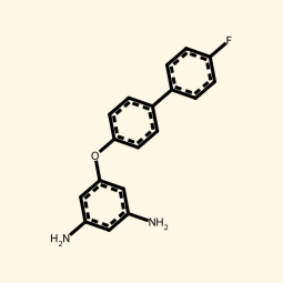 Nc1cc(N)cc(Oc2ccc(-c3ccc(F)cc3)cc2)c1